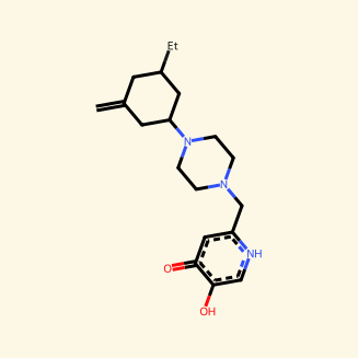 C=C1CC(CC)CC(N2CCN(Cc3cc(=O)c(O)c[nH]3)CC2)C1